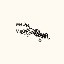 COCCOCCN(CCCCC[C@@H](NC(=O)[C@@H](CC(C)C)NC(=O)[C@@H](Cc1ccccc1)NC(=O)[C@H](N)Cc1ccccc1)C(=O)N1CCC(N)(C(=O)O)CC1)CCOCCOC